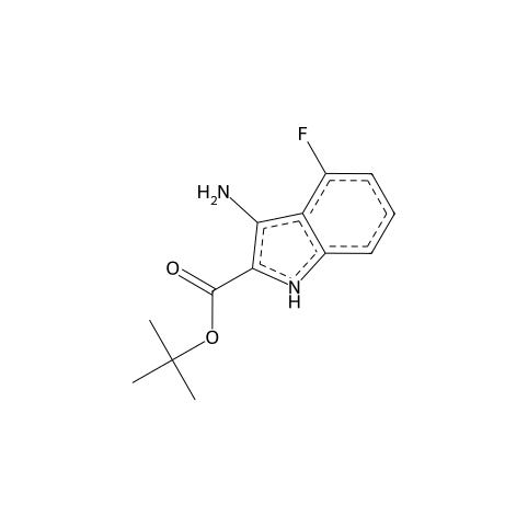 CC(C)(C)OC(=O)c1[nH]c2cccc(F)c2c1N